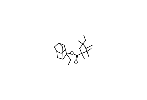 CCC(C)(CC)CC(C)(C(=O)OC1(CC)C2CC3CC(C2)CC1C3)C(C)(C)C